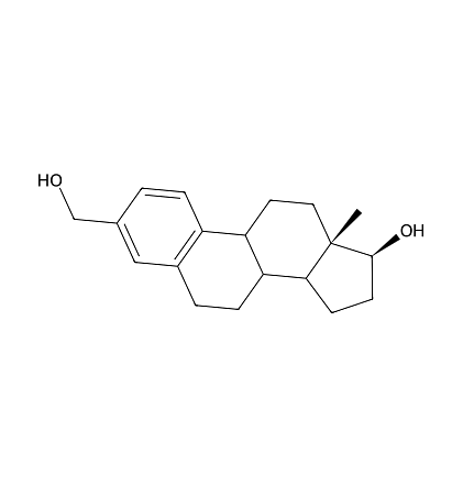 C[C@]12CCC3c4ccc(CO)cc4CCC3C1CC[C@@H]2O